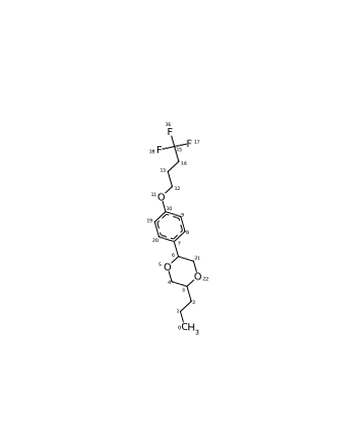 CCCC1COC(c2ccc(OCCCC(F)(F)F)cc2)CO1